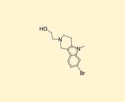 Cn1c2c(c3ccc(Br)cc31)CN(CCO)CC2